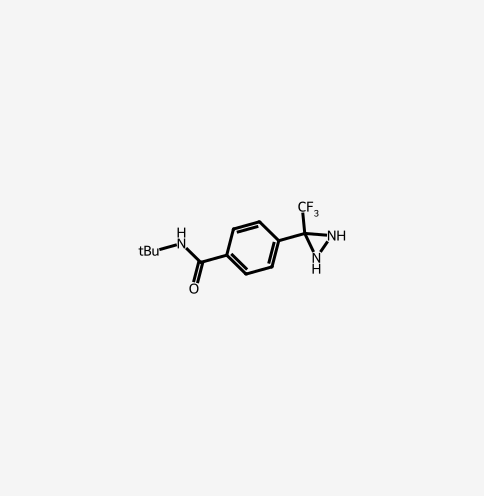 CC(C)(C)NC(=O)c1ccc(C2(C(F)(F)F)NN2)cc1